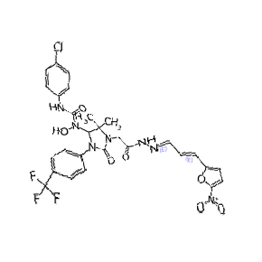 CC1(C)C(N(O)C(=O)Nc2ccc(Cl)cc2)N(c2ccc(C(F)(F)F)cc2)C(=O)N1CC(=O)N/N=C/C=C/c1ccc([N+](=O)[O-])o1